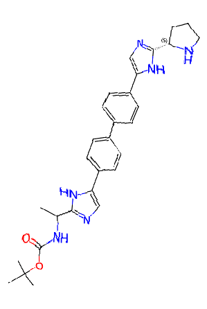 CC(NC(=O)OC(C)(C)C)c1ncc(-c2ccc(-c3ccc(-c4cnc([C@@H]5CCCN5)[nH]4)cc3)cc2)[nH]1